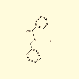 O=C(NCc1ccccc1)c1ccccc1.[LiH]